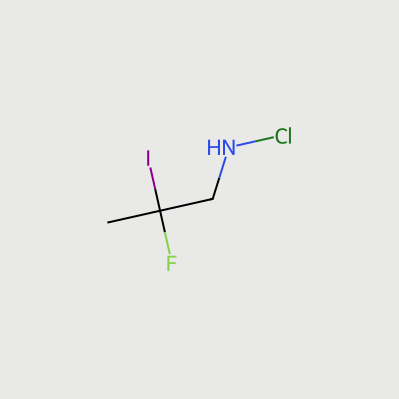 CC(F)(I)CNCl